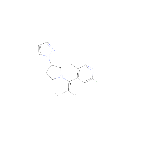 CC(=O)/C(C#N)=C(\c1cc(Cl)ncc1C)N1CCC(n2cccn2)C1